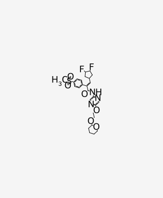 CS(=O)(=O)c1ccc(/C(=C\C2CC(F)C(F)C2)C(=O)Nc2cnc(OCCOC3CCCCO3)cn2)cc1